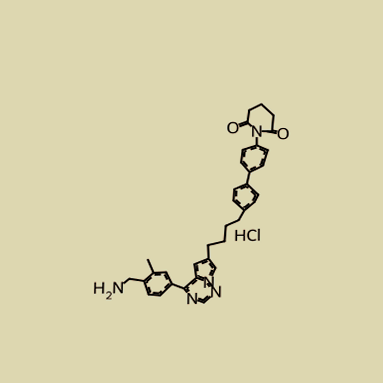 Cc1cc(-c2ncnn3cc(CCCCc4ccc(-c5ccc(N6C(=O)CCCC6=O)cc5)cc4)cc23)ccc1CN.Cl